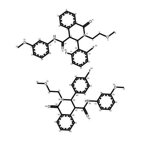 COCCN1C(=O)c2ccccc2C(C(=O)Nc2cccc(OC)c2)C1c1c(F)cccc1F.COCCN1C(=O)c2ccccc2C(C(=O)Nc2cccc(OC)c2)C1c1ccc(F)cc1